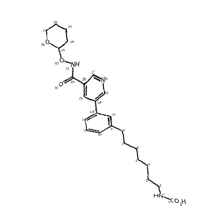 O=C(O)NCCCCCCCc1cccc(-c2cncc(C(=O)NOC3CCCCO3)c2)c1